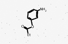 CCC(=O)Oc1cccc(N)c1